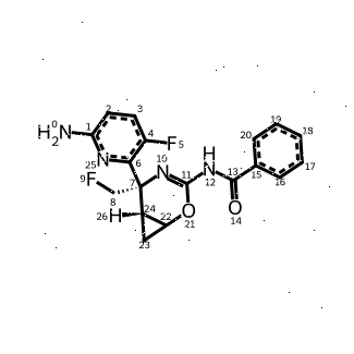 Nc1ccc(F)c([C@@]2(CF)N=C(NC(=O)c3ccccc3)OC3C[C@@H]32)n1